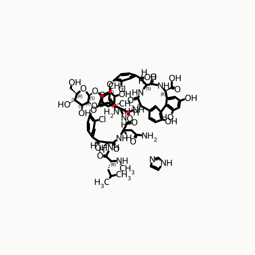 CN[C@H](CC(C)C)C(=O)N[C@H]1C(=O)N[C@@H](CC(N)=O)C(=O)N[C@H]2C(=O)N[C@H]3C(=O)N[C@H](C(=O)N[C@@H](C(=O)O)c4cc(O)cc(O)c4-c4cc3ccc4O)[C@H](O)c3ccc(c(Cl)c3)Oc3cc2cc(c3O[C@@H]2O[C@H](CO)[C@@H](O)[C@H](O)[C@H]2O[C@H]2C[C@](C)(N)C(O)[C@H](C)O2)Oc2ccc(cc2Cl)[C@H]1O.c1c[nH]cn1